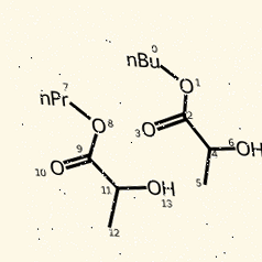 CCCCOC(=O)C(C)O.CCCOC(=O)C(C)O